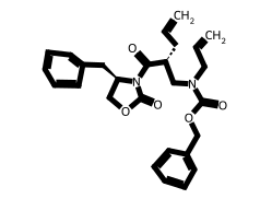 C=CC[C@H](CN(CC=C)C(=O)OCc1ccccc1)C(=O)N1C(=O)OC[C@H]1Cc1ccccc1